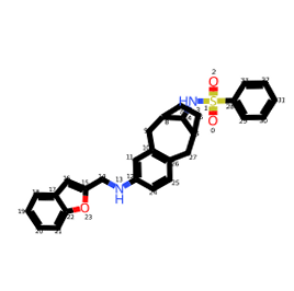 O=S(=O)(NC1C2CCC1Cc1cc(NCc3cc4ccccc4o3)ccc1C2)c1ccccc1